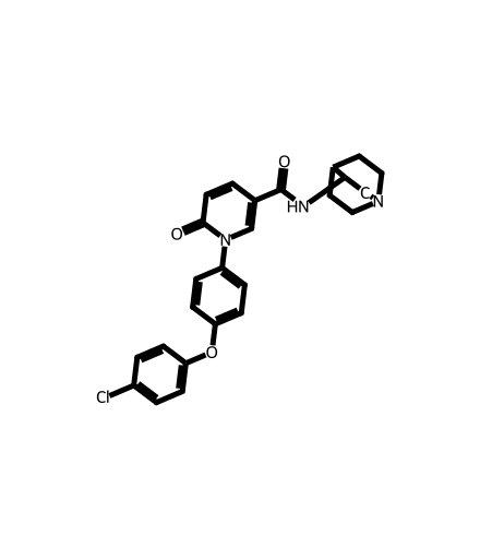 O=C(NC1CN2CCC1CC2)c1ccc(=O)n(-c2ccc(Oc3ccc(Cl)cc3)cc2)c1